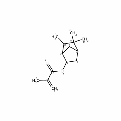 C=C(C)C(=O)OC1CC2CC1C(C)C2(C)C